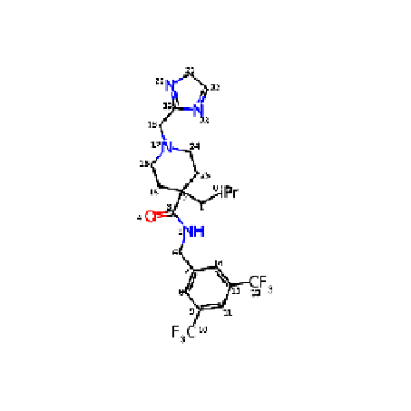 CC(C)CC1(C(=O)NCc2cc(C(F)(F)F)cc(C(F)(F)F)c2)CCN(CC2=NCC=N2)CC1